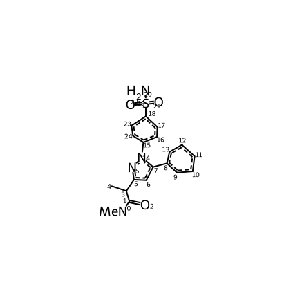 CNC(=O)C(C)c1cc(-c2ccccc2)n(-c2ccc(S(N)(=O)=O)cc2)n1